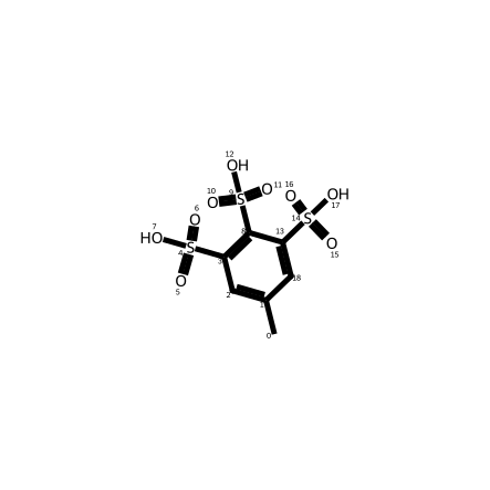 Cc1cc(S(=O)(=O)O)c(S(=O)(=O)O)c(S(=O)(=O)O)c1